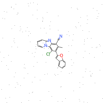 Cc1c(-c2cc3ccccc3o2)c(Cl)c2c(nc3ccccn32)c1C#N